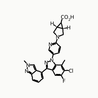 Cc1c(Cl)c(F)cc2c(-c3cccc4nn(C)cc34)nn(-c3ccc(N4C[C@@H]5C(C(=O)O)[C@@H]5C4)nc3)c12